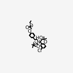 CCOC(=O)COc1ccc(CCN(C(=O)OC(C)(C)C)C2c3cc(Cl)ccc3OC(C)(C)C2O)cc1